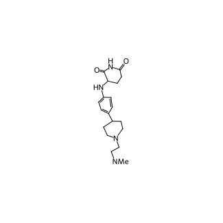 CNCCN1CCC(c2ccc(NC3CCC(=O)NC3=O)cc2)CC1